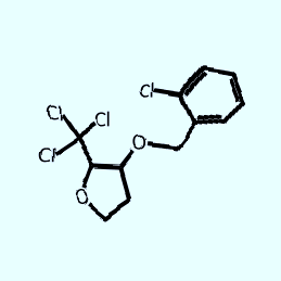 Clc1ccccc1COC1CCOC1C(Cl)(Cl)Cl